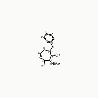 CNC1C(=O)N(Cc2ccccn2)CCOC1C